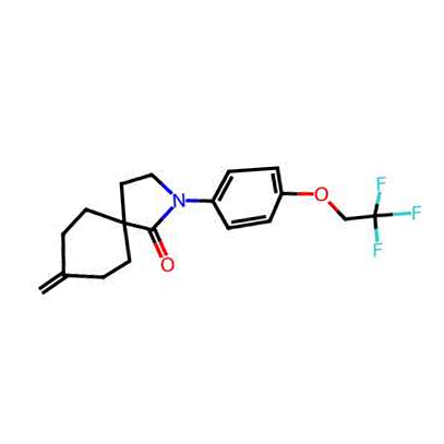 C=C1CCC2(CC1)CCN(c1ccc(OCC(F)(F)F)cc1)C2=O